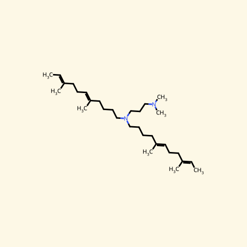 C/C=C(\C)CC/C=C(\C)CCCCN(CCCC/C(C)=C/CC/C(C)=C/C)CCCN(C)C